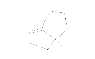 CCC1(C)OCOC1=O